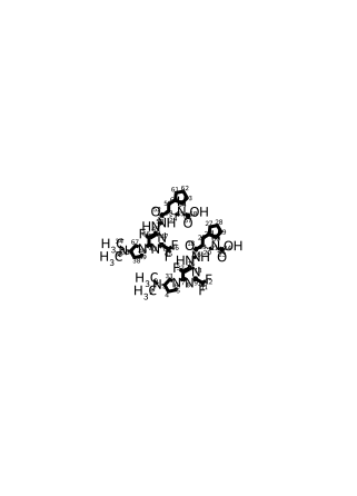 CN(C)[C@H]1CCN(c2nc(C(F)F)nc(NNC(=O)[C@@H](CNC(=O)O)CC3CCCC3)c2F)C1.CN(C)[C@H]1CCN(c2nc(C(F)F)nc(NNC(=O)[C@@H](CNC(=O)O)CC3CCCC3)c2F)C1